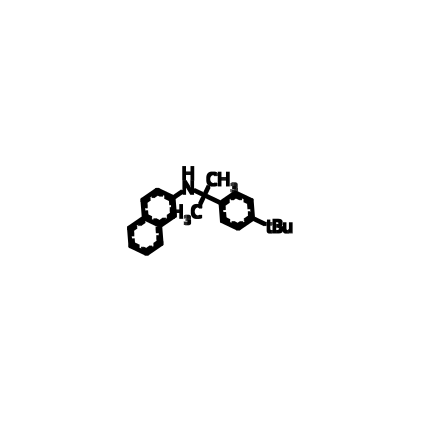 CC(C)(C)c1ccc(C(C)(C)Nc2ccc3ccccc3c2)cc1